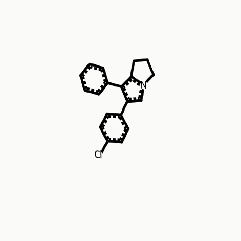 Clc1ccc(-c2cn3c(c2-c2ccccc2)CCC3)cc1